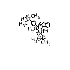 Cc1n[nH]c(C)c1-c1ccc([N+]2(C)C(=O)[C@@H](NC(=O)c3ccc(C)n3C)C3c4ccccc4CC34CC42)cc1